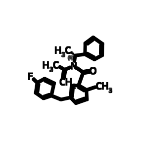 C=C(C)N(C(=O)c1cc(Cc2ccc(F)cc2)ccc1C)[C@H](C)c1ccccc1